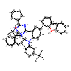 CC(C)(C)c1ccc2c3ccc(C(C)(C)C)cc3n(-c3ccc(-c4cccc5c4oc4ccccc45)cc3-c3nc(-c4ccccc4)nc(-c4ccccc4)n3)c2c1